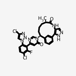 C[C@@H]1CCC[C@H](n2cnc(-c3c(-n4cc(Cl)nn4)ccc(Cl)c3F)cc2=O)c2cccc(c2)-c2[nH]ncc2NC1=O